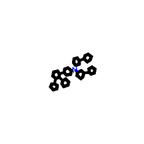 c1ccc(-c2cccc(N(c3ccc(-c4cccc(-c5ccccc5)c4-c4ccccc4)cc3)c3cccc(-c4ccccc4)c3)c2)cc1